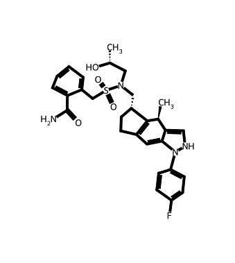 C[C@H]1C2=CNN(c3ccc(F)cc3)C2=CC2=C1[C@@H](CN(C[C@@H](C)O)S(=O)(=O)Cc1ccccc1C(N)=O)CC2